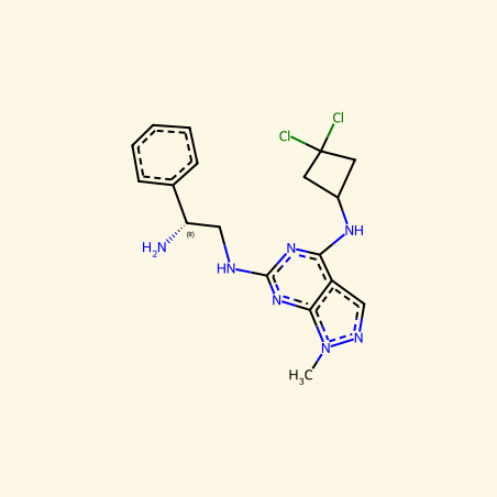 Cn1ncc2c(NC3CC(Cl)(Cl)C3)nc(NC[C@H](N)c3ccccc3)nc21